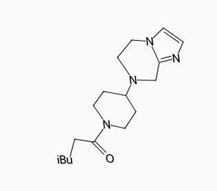 CCC(C)CC(=O)N1CCC(N2CCn3ccnc3C2)CC1